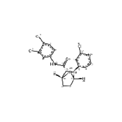 O=C(Nc1ccc(Cl)c(Cl)c1)[C@@H]1[C@@H](c2ccnc(Cl)c2)[C@@H]2CC[C@H]1O2